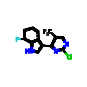 Fc1cccc2c(-c3nc(Cl)ncc3C(F)(F)F)c[nH]c12